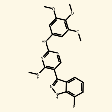 CNc1nc(Nc2cc(OC)c(OC)c(OC)c2)ncc1-c1n[nH]c2c(F)cccc12